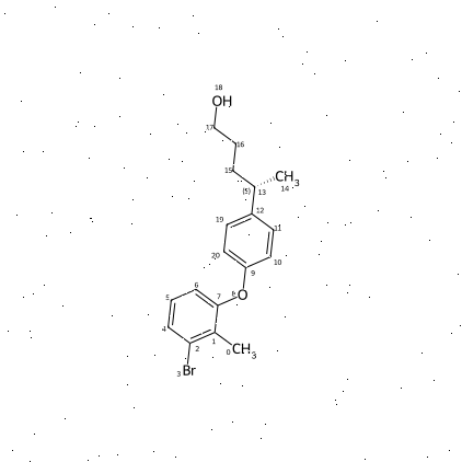 Cc1c(Br)cccc1Oc1ccc([C@@H](C)CCCO)cc1